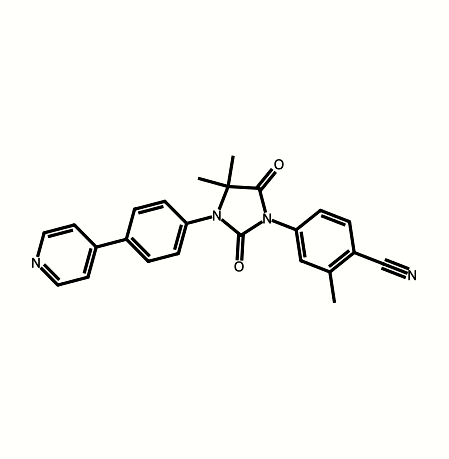 Cc1cc(N2C(=O)N(c3ccc(-c4ccncc4)cc3)C(C)(C)C2=O)ccc1C#N